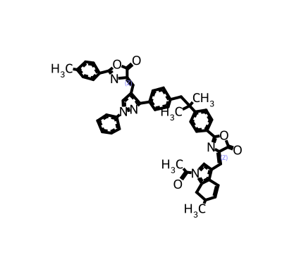 CC(=O)n1cc(/C=C2\N=C(c3ccc(C(C)(C)Cc4ccc(-c5nn(-c6ccccc6)cc5/C=C5\N=C(c6ccc(C)cc6)OC5=O)cc4)cc3)OC2=O)c2c1CC(C)C=C2